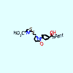 CCCCCC(O)c1ccc(N2C(=O)CC[C@@H]2CCSc2nc(C(=O)O)cs2)cc1